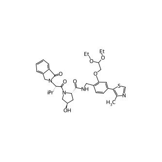 CCOC(COc1cc(-c2scnc2C)ccc1CNC(=O)[C@@H]1C[C@@H](O)CN1C(=O)[C@H](C(C)C)N1Cc2ccccc2C1=O)OCC